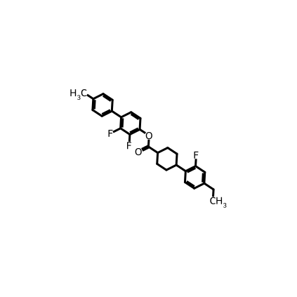 CCc1ccc(C2CCC(C(=O)Oc3ccc(-c4ccc(C)cc4)c(F)c3F)CC2)c(F)c1